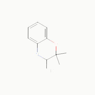 CC1(C)Oc2ccccc2NC1C=O